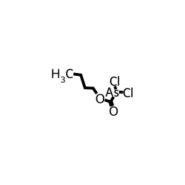 CCCCOC(=O)[As](Cl)Cl